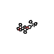 C1=CC(c2nc3ccccc3n2-c2ccccc2)=CC=C(c2ccc3c(-c4ccccc4-c4ccccc4)c4ccccc4c(-c4ccccc4-c4ccccc4)c3c2)C1